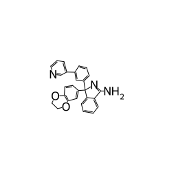 NC1=NC(c2cccc(-c3cccnc3)c2)(c2ccc3c(c2)OCCO3)c2ccccc21